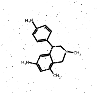 Cc1cc(N)cc2c1CN(C)CC2c1ccc(N)cc1